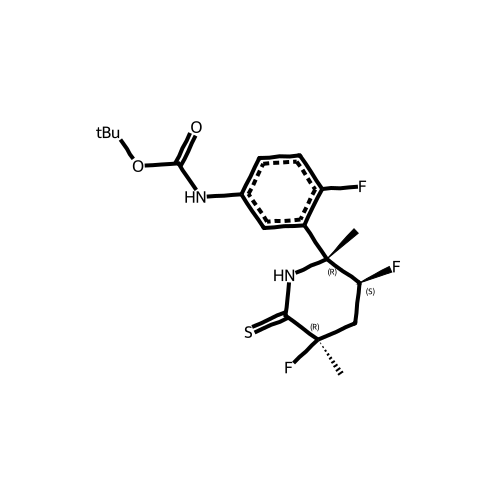 CC(C)(C)OC(=O)Nc1ccc(F)c([C@@]2(C)NC(=S)[C@](C)(F)C[C@@H]2F)c1